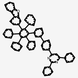 c1ccc(-c2cc(-c3ccc(-c4cccc(-c5c(-c6ccccc6)c(-c6ccccc6)c(-c6ccccc6)c(-c6ccc7c(c6)oc6ccccc67)c5-c5ccccc5)c4)cc3)nc(-c3ccccc3)n2)cc1